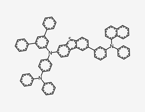 c1ccc(-c2cc(-c3ccccc3)cc(N(c3ccc(N(c4ccccc4)c4ccccc4)cc3)c3ccc4c(c3)sc3ccc(-c5cccc(N(c6ccccc6)c6cccc7ccccc67)c5)cc34)c2)cc1